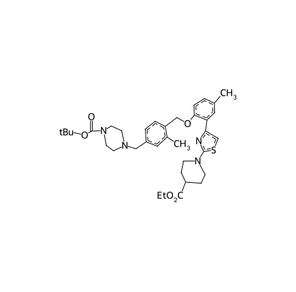 CCOC(=O)C1CCN(c2nc(-c3cc(C)ccc3OCc3ccc(CN4CCN(C(=O)OC(C)(C)C)CC4)cc3C)cs2)CC1